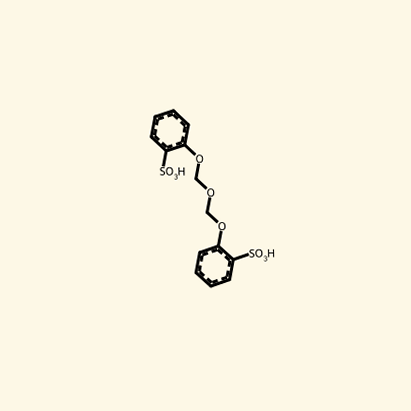 O=S(=O)(O)c1ccccc1OCOCOc1ccccc1S(=O)(=O)O